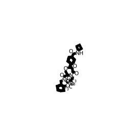 COCCN1C(=O)c2oc3cc(C(=O)NC4CCC4)ccc3c2OC[C@]1(C)C(=O)NCc1ccccc1OC